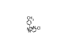 Cc1ccc(-c2nnc3ccc(Cl)nn23)cc1